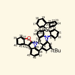 CC(C)(C)c1cc2c3c(c1)N1c4ccccc4[Si]4(c5ccccc5-c5ccccc54)c4cccc(c41)B3n1c3oc4ccccc4c3c3cccc-2c31